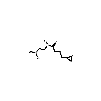 CCN(C#N)CCN(CC)C(=O)CNCC1CC1